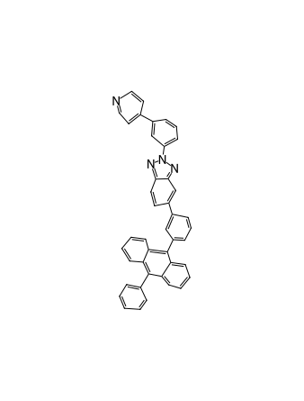 c1ccc(-c2c3ccccc3c(-c3cccc(-c4ccc5nn(-c6cccc(-c7ccncc7)c6)nc5c4)c3)c3ccccc23)cc1